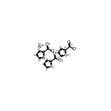 O=C([O-])c1cccs1.O=C([O-])c1cccs1.O=C([O-])c1cccs1.[Al+3]